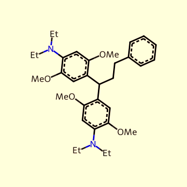 CCN(CC)c1cc(OC)c(C(CCc2ccccc2)c2cc(OC)c(N(CC)CC)cc2OC)cc1OC